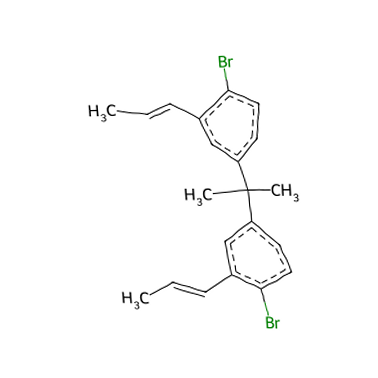 CC=Cc1cc(C(C)(C)c2ccc(Br)c(C=CC)c2)ccc1Br